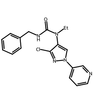 CCN(C(=O)NCc1ccccc1)c1cn(-c2cccnc2)nc1Cl